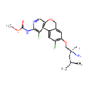 COC(=O)Nc1ncc2c(c1Cl)-c1cc(F)c(OC[C@@](C)(N)CC(C)C)cc1CO2